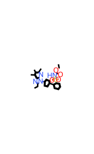 CCOC(=O)NS(=O)(=O)c1ccccc1-c1ccc(-n2c(CC)nc3c(C)c(C)c(C)nc32)cc1